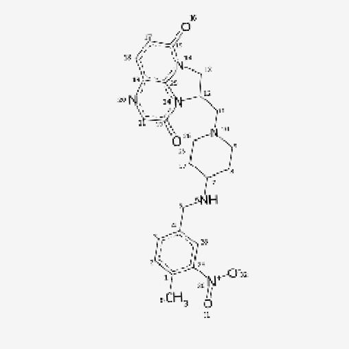 Cc1ccc(CNC2CCN(CC3Cn4c(=O)ccc5ncc(=O)n3c54)CC2)cc1[N+](=O)[O-]